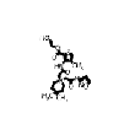 Cc1csc(C(=O)OCCO)c1NC(=O)C[N+]1(CC(=O)Nc2ccon2)CCC(C)(C)CC1